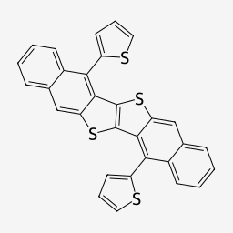 c1csc(-c2c3ccccc3cc3sc4c(sc5cc6ccccc6c(-c6cccs6)c54)c23)c1